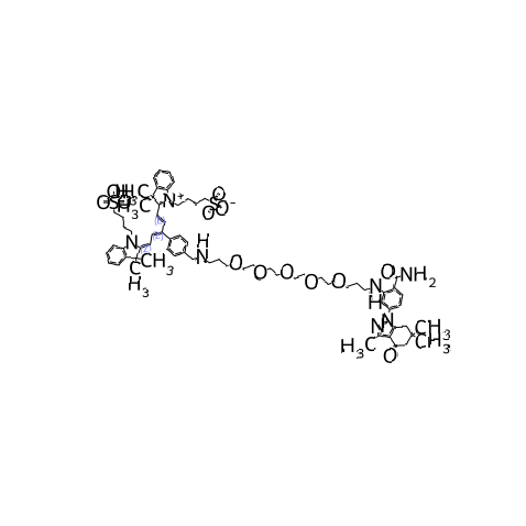 Cc1nn(-c2ccc(C(N)=O)c(NCCCOCCOCCOCCOCCOCCCNCc3ccc(C(=C\C=C4/N(CCCCS(=O)(=O)O)c5ccccc5C4(C)C)/C=C/C4=[N+](CCCCS(=O)(=O)[O-])c5ccccc5C4(C)C)cc3)c2)c2c1C(=O)CC(C)(C)C2